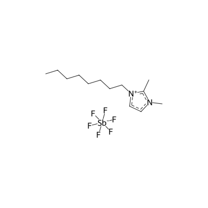 CCCCCCCC[n+]1ccn(C)c1C.[F][Sb-]([F])([F])([F])([F])[F]